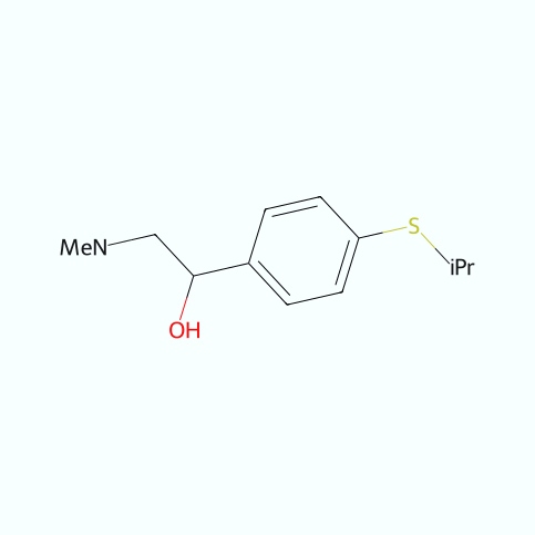 CNCC(O)c1ccc(SC(C)C)cc1